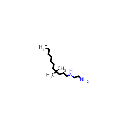 CCCCCCCC(C)(C)CCCNCCN